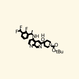 C[C@@H](Nc1ccnc2cnc(C3(O)CCN(C(=O)OC(C)(C)C)CC3)cc12)c1cccc(C(F)F)c1F